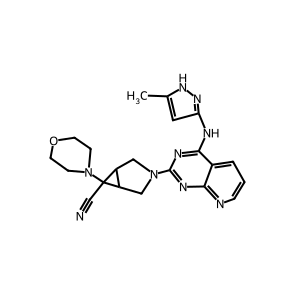 Cc1cc(Nc2nc(N3CC4C(C3)C4(C#N)N3CCOCC3)nc3ncccc23)n[nH]1